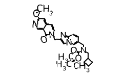 COc1cc2ccn(Cc3cn4cc(CN(CC5CCC5)C(=O)OC(C)(C)C)ccc4n3)c(=O)c2cn1